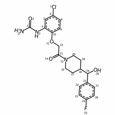 NC(=O)Nc1cc(Cl)ccc1OCC(=O)N1CCC(C(O)c2ccc(F)cc2)CC1